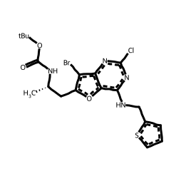 C[C@@H](Cc1oc2c(NCc3cccs3)nc(Cl)nc2c1Br)NC(=O)OC(C)(C)C